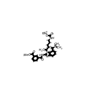 COC(=O)c1cccc(C(=O)Nc2nc3cccc(C(=O)N(C)C)c3n2C(C)CCCCNC(=O)OC(C)(C)C)c1